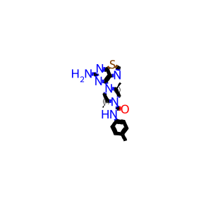 Cc1ccc(NC(=O)N2C[C@H](C)N(c3nc(N)nc4scnc34)C[C@H]2C)cc1